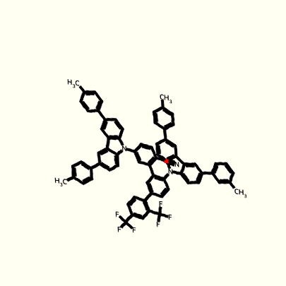 Cc1ccc(-c2ccc3c(c2)c2cc(-c4ccc(C)cc4)ccc2n3-c2ccc(C#N)c(-c3cc(-c4ccc(C(F)(F)F)cc4C(F)(F)F)ccc3-n3c4ccc(-c5ccc(C)cc5)cc4c4cc(-c5cccc(C)c5)ccc43)c2)cc1